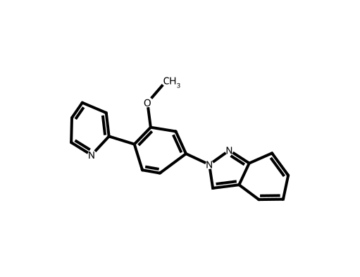 COc1cc(-n2cc3ccccc3n2)ccc1-c1ccccn1